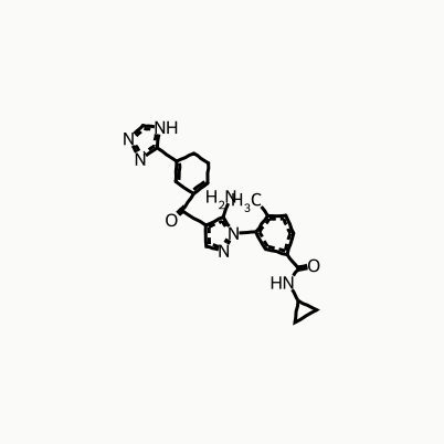 Cc1ccc(C(=O)NC2CC2)cc1-n1ncc(C(=O)C2=CCCC(c3nnc[nH]3)=C2)c1N